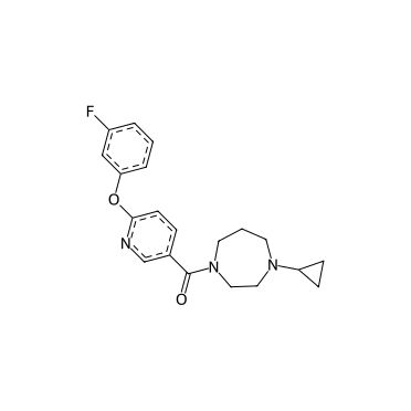 O=C(c1ccc(Oc2cccc(F)c2)nc1)N1CCCN(C2CC2)CC1